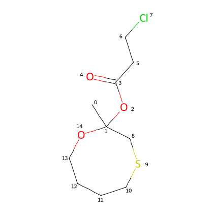 CC1(OC(=O)CCCl)CSCCCCO1